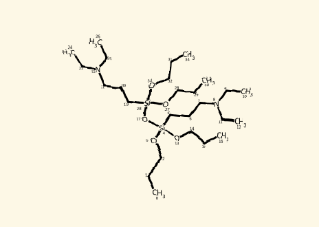 CCCO[Si](CCCN(CC)CC)(OCCC)O[Si](CCCN(CC)CC)(OCCC)OCCC